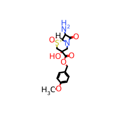 COc1ccc(COC(=O)C2(O)CN3C(=O)C(N)[C@H]3[S+]([O-])C2)cc1